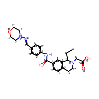 CCC1c2cc(C(=O)Nc3ccc(C=NN4CCOCC4)cc3)ccc2CCN1CC(=O)O